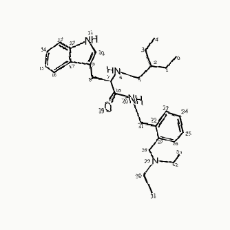 CCC(CC)CN[C@H](Cc1c[nH]c2ccccc12)C(=O)NCc1ccccc1CN(CC)CC